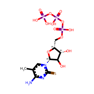 Cc1cn([C@@H]2O[C@H](COP(=O)(O)OP(=O)(O)OP(=O)(O)O)[C@H](O)C2O)c(=S)nc1N